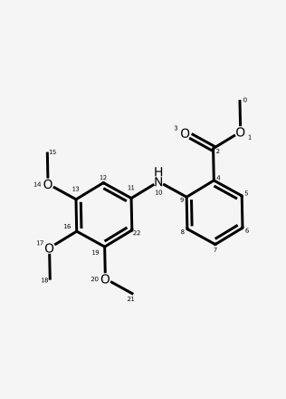 COC(=O)c1ccccc1Nc1cc(OC)c(OC)c(OC)c1